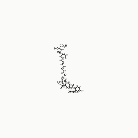 CNC(=O)c1c(-c2ccc(F)cc2)oc2cc(N(CCOCCOCCOCc3cccc(C(=O)C=C(O)C(=O)O)c3)S(C)(=O)=O)c(C3CC3)cc12